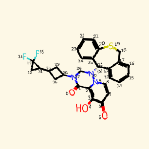 O=C1c2c(O)c(=O)ccn2N([C@H]2c3ccccc3CSc3ccccc32)CN1C1CC(C2CC2(F)F)C1